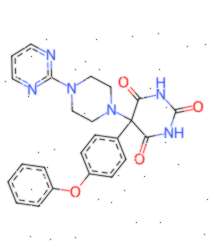 O=C1NC(=O)C(c2ccc(Oc3ccccc3)cc2)(N2CCN(c3ncccn3)CC2)C(=O)N1